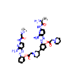 CNCC(=O)Nc1ccc(/N=N/c2ccccc2OC(=O)CN2CCCC(c3ccc(OC(=O)CN4CCCCC4)c(/N=N/c4ccc(NC(=O)[C@H](C)N)nc4N)c3)C2)c(N)n1